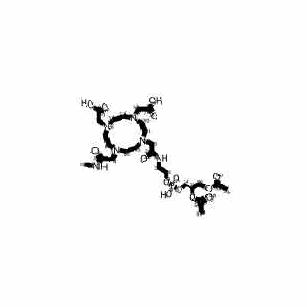 CNC(=O)CN1CCN(CC(=O)O)CCN(CC(=O)O)CCN(CC(=O)NCCOP(=O)(O)OC[C@@H](COC(C)=O)OC(C)=O)CC1